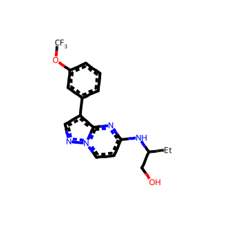 CCC(CO)Nc1ccn2ncc(-c3cccc(OC(F)(F)F)c3)c2n1